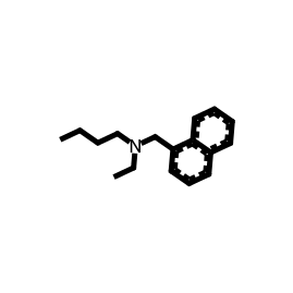 CCCCN(CC)Cc1cccc2ccccc12